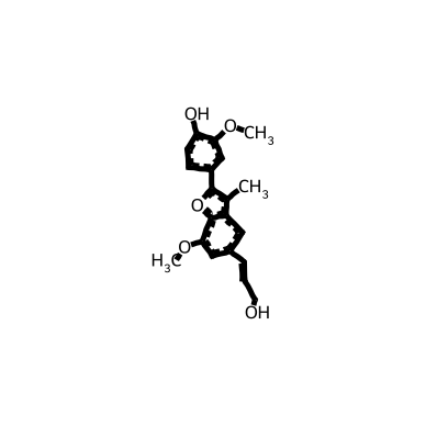 COc1cc(-c2oc3c(OC)cc(/C=C/CO)cc3c2C)ccc1O